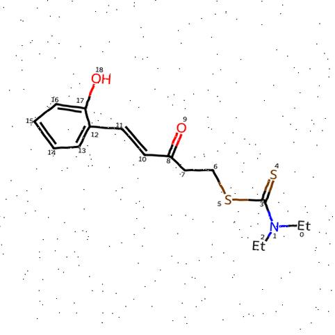 CCN(CC)C(=S)SCCC(=O)/C=C/c1ccccc1O